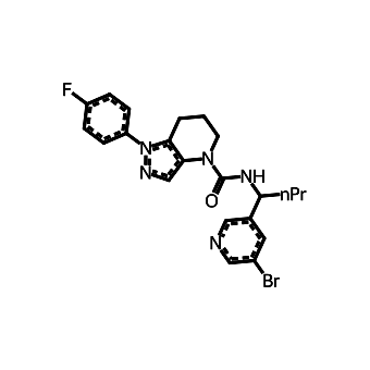 CCCC(NC(=O)N1CCCc2c1cnn2-c1ccc(F)cc1)c1cncc(Br)c1